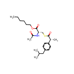 CCCCCCOC(=O)[C@H](CSC(=O)[C@H](C)c1ccc(CC(C)C)cc1)NC(C)=O